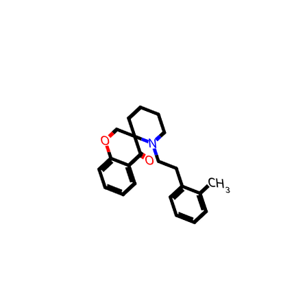 Cc1ccccc1CCN1CCCCC12COc1ccccc1C2=O